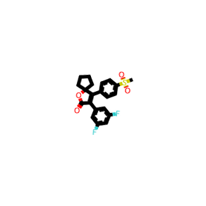 CS(=O)(=O)c1ccc(C2=C(c3cc(F)cc(F)c3)C(=O)OC23CCCC3)cc1